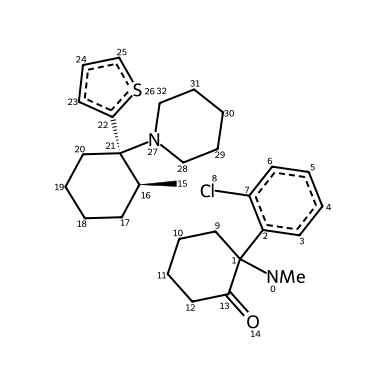 CNC1(c2ccccc2Cl)CCCCC1=O.C[C@H]1CCCC[C@@]1(c1cccs1)N1CCCCC1